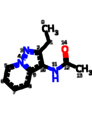 CCc1nn2ccccc2c1NC(C)=O